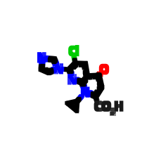 O=C(O)c1cc(=O)c2cc(Cl)c(-n3ccnc3)nc2n1C1CC1